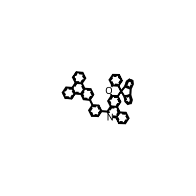 c1cc(-c2ccc3c4ccccc4c4ccccc4c3c2)cc(-c2nc3ccccc3c3cc4c(cc23)Oc2ccccc2C42c3ccccc3-c3ccccc32)c1